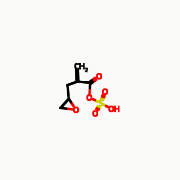 C=C(CC1CO1)C(=O)OS(=O)(=O)O